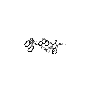 COc1cc(CO[Si](c2ccccc2)(c2ccccc2)C(C)(C)C)cc(OC)c1-c1ccc(C[C@H](NC(=O)C2(C)CCCO2)C(=O)OC(C)(C)C)cc1